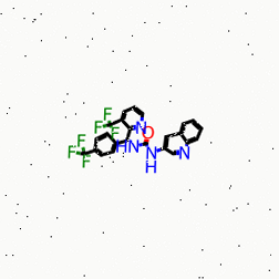 O=C(Nc1cnc2ccccc2c1)NC(c1ccc(C(F)(F)F)cc1)c1ncccc1C(F)(F)F